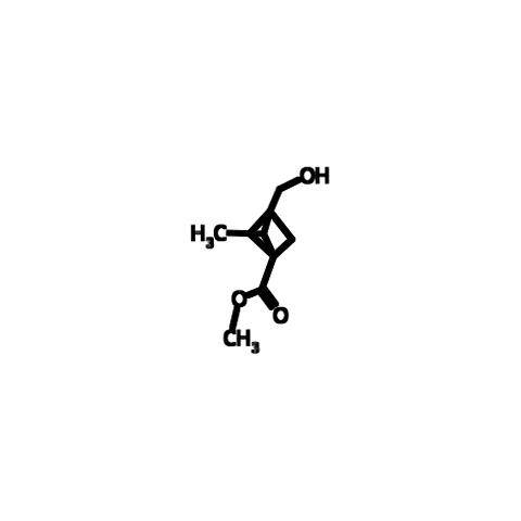 COC(=O)C12CC(CO)(C1)C2C